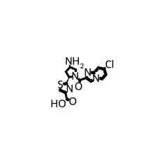 N[C@@H]1C[C@H](c2nc(C(=O)O)cs2)N(C(=O)c2cn3ccc(Cl)cc3n2)C1